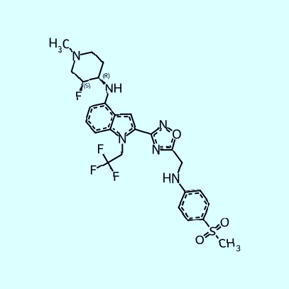 CN1CC[C@@H](Nc2cccc3c2cc(-c2noc(CNc4ccc(S(C)(=O)=O)cc4)n2)n3CC(F)(F)F)[C@@H](F)C1